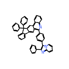 c1ccc(-c2nc3ccccn3c2-c2ccc(-c3nc4ccccc4c4cc5c(cc34)-c3ccccc3C5(c3ccccc3)c3ccccc3)cc2)cc1